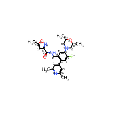 Cc1cc(-c2cc(F)c(N3C[C@@H](C)O[C@@H](C)C3)cc2CNC(=O)c2cc(C)on2)cc(C)n1